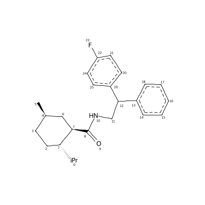 CC(C)[C@@H]1CC[C@@H](C)C[C@H]1C(=O)NCC(c1ccccc1)c1ccc(F)cc1